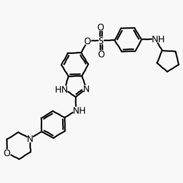 O=S(=O)(Oc1ccc2[nH]c(Nc3ccc(N4CCOCC4)cc3)nc2c1)c1ccc(NC2CCCC2)cc1